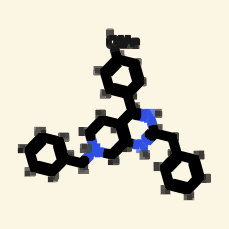 COc1ccc(-c2nc(Cc3ccccc3)nc3c2CCN(Cc2ccccc2)C3)cc1